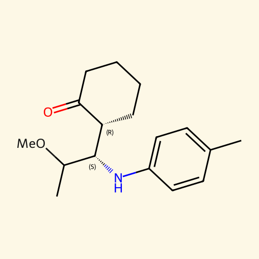 COC(C)[C@@H](Nc1ccc(C)cc1)[C@H]1CCCCC1=O